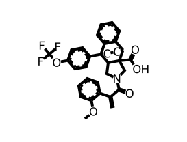 C=C(C(=O)N1CC2C3(c4ccc(OC(F)(F)F)cc4)CCC(c4ccccc43)C2(C(=O)O)C1)c1ccccc1OC